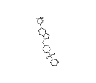 O=S(=O)(c1cccnc1)N1CCC(Cn2ccc3cc(-c4cn[nH]n4)ccc32)CC1